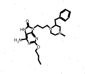 CCCCOc1nc(N)c2[nH]c(=O)n(CCCN3CCN(C)CC3Cc3ccccc3)c2n1